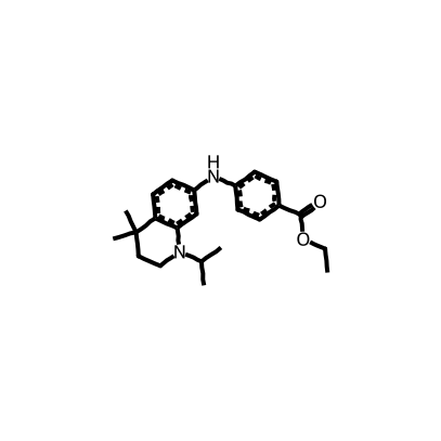 CCOC(=O)c1ccc(Nc2ccc3c(c2)N(C(C)C)CCC3(C)C)cc1